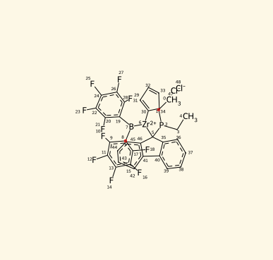 CCP(CC)[C]1([Zr+2]([B](c2c(F)c(F)c(F)c(F)c2F)c2c(F)c(F)c(F)c(F)c2F)[C]2=CC=CC2)c2ccccc2-c2ccccc21.[Cl-].[Cl-]